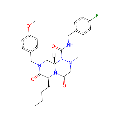 CCCC[C@H]1C(=O)N(Cc2ccc(OC)cc2)C[C@H]2N1C(=O)CN(C)N2C(=O)NCc1ccc(F)cc1